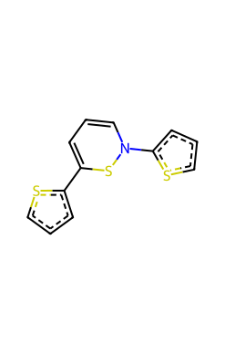 C1=CN(c2cccs2)SC(c2cccs2)=C1